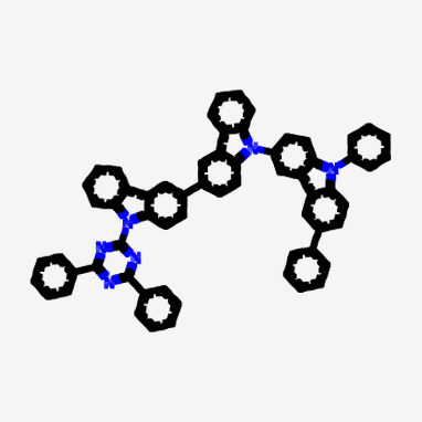 c1ccc(-c2ccc3c(c2)c2cc(-n4c5ccccc5c5cc(-c6ccc7c(c6)c6ccccc6n7-c6nc(-c7ccccc7)nc(-c7ccccc7)n6)ccc54)ccc2n3-c2ccccc2)cc1